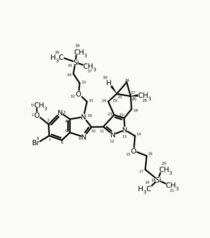 COc1nc2c(cc1Br)nc(-c1nn(COCC[Si](C)(C)C)c3c1C[C@@H]1C[C@]1(C)C3)n2COCC[Si](C)(C)C